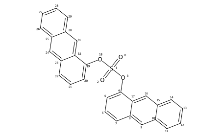 O=S(=O)(Oc1cccc2cc3ccccc3cc12)Oc1cccc2cc3ccccc3cc12